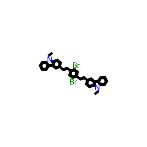 CCn1c2ccccc2c2cc(/C=C/c3cc(Br)c(/C=C/c4ccc5c(c4)c4ccccc4n5CC)cc3Br)ccc21